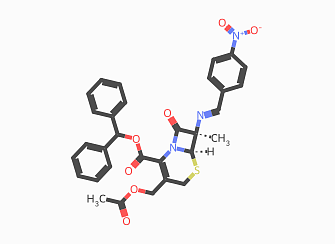 CC(=O)OCC1=C(C(=O)OC(c2ccccc2)c2ccccc2)N2C(=O)[C@@](C)(N=Cc3ccc([N+](=O)[O-])cc3)[C@H]2SC1